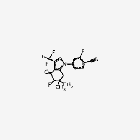 CC1(C)Cc2c(c(C(F)(F)F)cn2-c2ccc(C#N)c(F)c2)C(=O)C1F